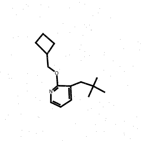 CC(C)(C)Cc1cccnc1OCC1CCC1